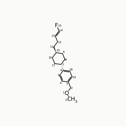 COCc1ccc([C@H]2CC[C@H](CC/C=C/F)CC2)cc1